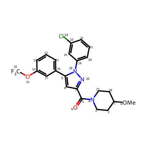 COC1CCN(C(=O)c2cc(-c3cccc(OC(F)(F)F)c3)n(-c3cccc(Cl)c3)n2)CC1